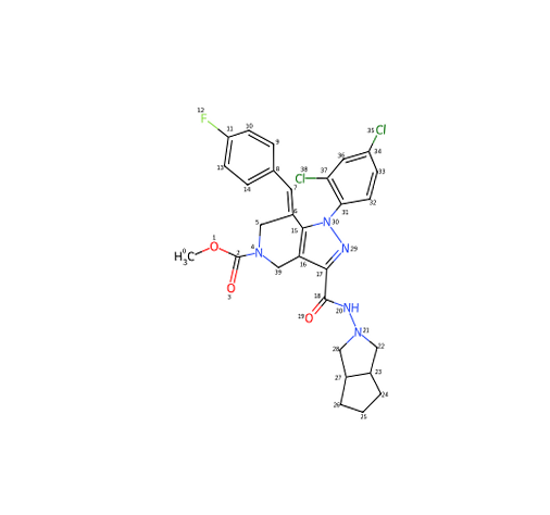 COC(=O)N1C/C(=C\c2ccc(F)cc2)c2c(c(C(=O)NN3CC4CCCC4C3)nn2-c2ccc(Cl)cc2Cl)C1